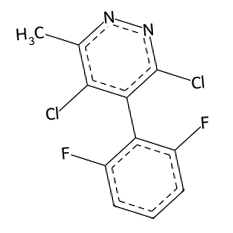 Cc1nnc(Cl)c(-c2c(F)cccc2F)c1Cl